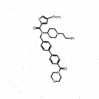 CCCCCc1csc(C(=O)N(Cc2ccc(-c3ccc(C(=O)N4CCSCC4)cc3)cc2)C2CCN(CCC(C)C)CC2)c1